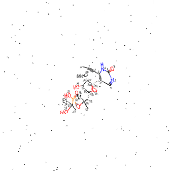 CC#Cc1[nH]c(=O)ncc1[C@@H]1O[C@H](CC(C)(CC)OP(=O)(O)C(C)(O)CC)C(O)[C@@H]1OC